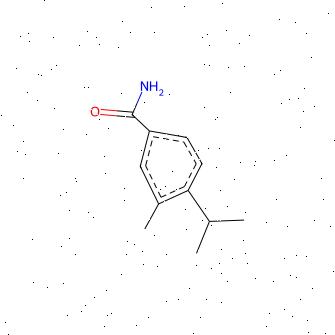 Cc1cc(C(N)=O)ccc1C(C)C